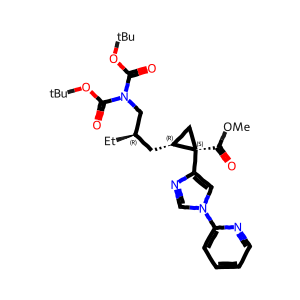 CC[C@H](C[C@@H]1C[C@@]1(C(=O)OC)c1cn(-c2ccccn2)cn1)CN(C(=O)OC(C)(C)C)C(=O)OC(C)(C)C